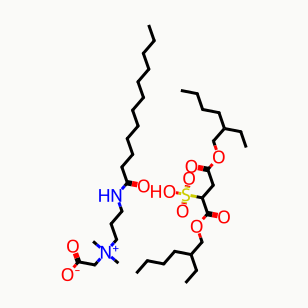 CCCCC(CC)COC(=O)CC(C(=O)OCC(CC)CCCC)S(=O)(=O)O.CCCCCCCCCCCC(=O)NCCC[N+](C)(C)CC(=O)[O-]